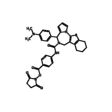 CN(C)c1ccc(C2c3cccn3-c3sc4c(c3CN2C(=O)Nc2ccc(C(=O)ON3C(=O)CCC3=O)cc2)CCCC4)cc1